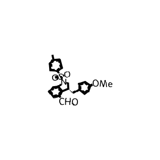 COc1ccc(C[C@H]2CN(S(=O)(=O)c3ccc(C)cc3)c3cccc(C=O)c32)cc1